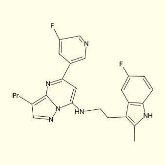 Cc1[nH]c2ccc(F)cc2c1CCNc1cc(-c2cncc(F)c2)nc2c(C(C)C)cnn12